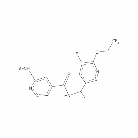 CC(=O)Nc1cc(C(=O)NC(C)c2cnc(OCC(F)(F)F)c(F)c2)ccn1